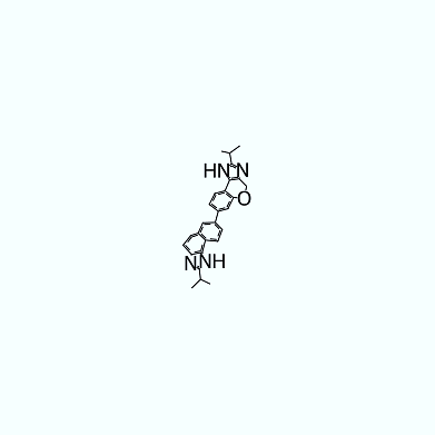 CC(C)c1nc2c([nH]1)-c1ccc(-c3ccc4c(ccc5nc(C(C)C)[nH]c54)c3)cc1OC2